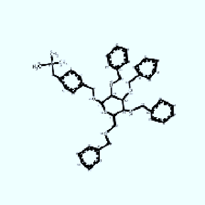 C[Si](C)(C)Cc1ccc(COC2OC(COCc3ccccc3)C(OCc3ccccc3)C(OCc3ccccc3)C2OCc2ccccc2)cc1